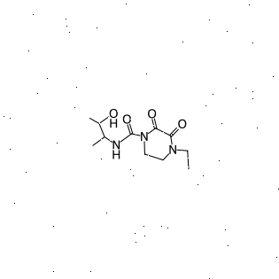 CCN1CCN(C(=O)NC(C)C(C)O)C(=O)C1=O